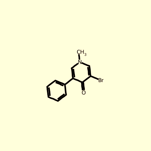 Cn1cc(Br)c(=O)c(-c2ccccc2)c1